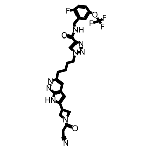 N#CCC(=O)N1CC(c2cc3cc(CCCCn4cc(C(=O)NCc5cc(OC(F)(F)F)ccc5F)nn4)nnc3[nH]2)C1